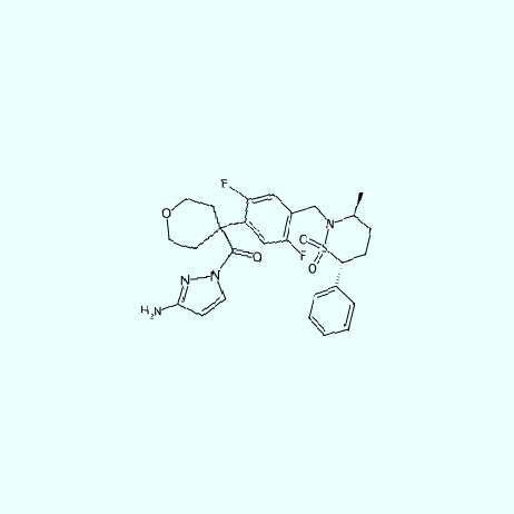 C[C@H]1CC[C@H](c2ccccc2)S(=O)(=O)N1Cc1cc(F)c(C2(C(=O)n3ccc(N)n3)CCOCC2)cc1F